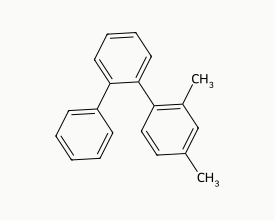 Cc1ccc(-c2ccccc2-c2ccccc2)c(C)c1